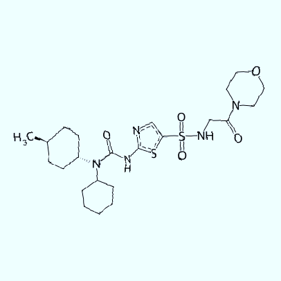 C[C@H]1CC[C@H](N(C(=O)Nc2ncc(S(=O)(=O)NCC(=O)N3CCOCC3)s2)C2CCCCC2)CC1